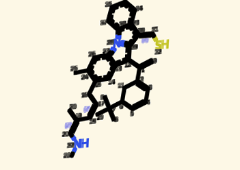 C=C(C1=CC=CC(C(C)(C)C)C1)c1c2cc(C/C=C\C(C)=C/NC)c(C)cc2n2c1/c(=C\S)c1ccccc12